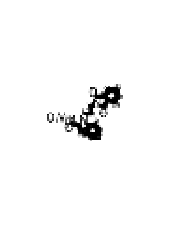 COC(=O)c1cc2ccccc2n1CCCN1C(=O)c2ccccc2C1=O